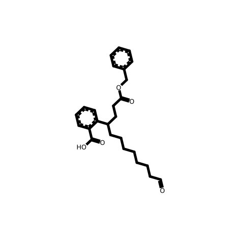 O=CCCCCCCCC(CCC(=O)OCc1ccccc1)c1ccccc1C(=O)O